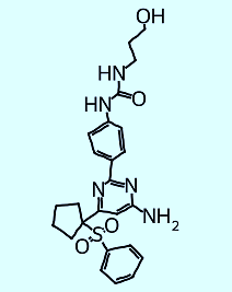 Nc1cc(C2(S(=O)(=O)c3ccccc3)CCCC2)nc(-c2ccc(NC(=O)NCCCO)cc2)n1